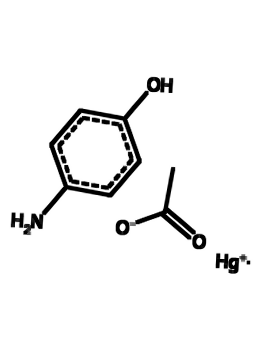 CC(=O)[O-].Nc1ccc(O)cc1.[Hg+]